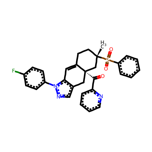 C[C@]1(S(=O)(=O)c2ccccc2)CCC2=Cc3c(cnn3-c3ccc(F)cc3)C[C@]2(C(=O)c2ccccn2)C1